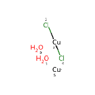 O.O.[Cl][Cu][Cl].[Cu]